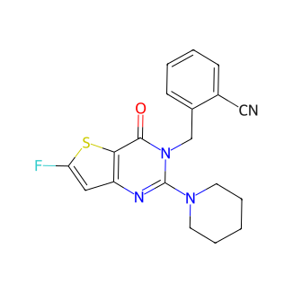 N#Cc1ccccc1Cn1c(N2CCCCC2)nc2cc(F)sc2c1=O